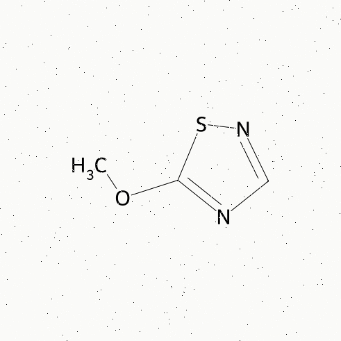 COc1ncns1